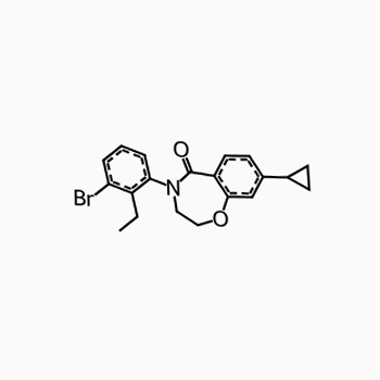 CCc1c(Br)cccc1N1CCOc2cc(C3CC3)ccc2C1=O